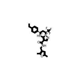 CCc1ccc([C@H]2C[C@@H](C(F)(F)F)n3ncc(C(=O)NCc4cc(C)oc4C)c3N2)cc1